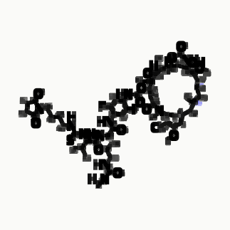 COc1cc2cc(c1Cl)N(C)C(=O)C[C@H](OC(=O)Nc1cc(F)c(NC(=O)[C@H](CCCNC(N)=O)NC(=O)[C@@H](NC(=S)NCCCCN3C(=O)C=CC3=O)C(C)C)cc1F)[C@]1(C)O[C@H]1[C@H](C)[C@@H]1C[C@@](O)(NC(=O)O1)[C@H](OC)/C=C/C=C(\C)C2